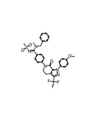 COc1ccc(-n2nc(C(F)(F)F)c3c2C(=O)N(c2ccc(/C(=N/S(C)(=O)=O)N(C)Cc4ccccc4)cc2)CC3)cc1